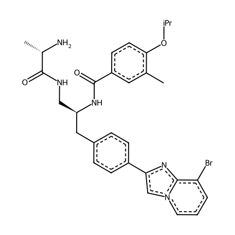 Cc1cc(C(=O)N[C@H](CNC(=O)[C@H](C)N)Cc2ccc(-c3cn4cccc(Br)c4n3)cc2)ccc1OC(C)C